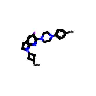 CNC1CC(n2ccc3cc(I)c(N4CCN(c5ccc(C(C)=O)cc5)CC4)nc32)C1